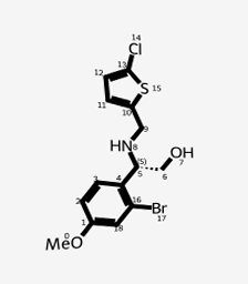 COc1ccc([C@@H](CO)NCc2ccc(Cl)s2)c(Br)c1